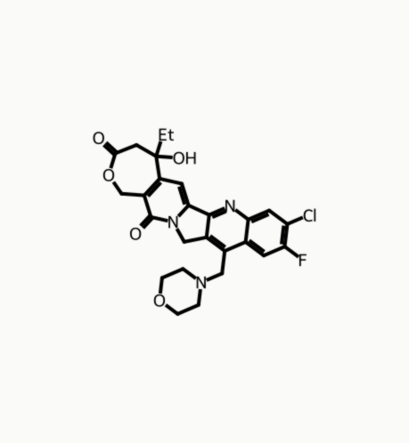 CCC1(O)CC(=O)OCc2c1cc1n(c2=O)Cc2c-1nc1cc(Cl)c(F)cc1c2CN1CCOCC1